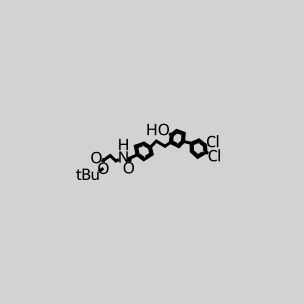 CC(C)(C)OC(=O)CCNC(=O)c1ccc(CCc2cc(-c3ccc(Cl)c(Cl)c3)ccc2O)cc1